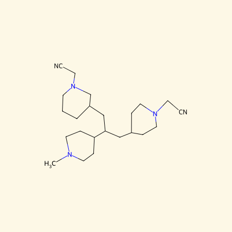 CN1CCC(C(CC2CCN(CC#N)CC2)CC2CCCN(CC#N)C2)CC1